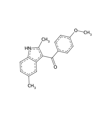 COc1ccc(C(=O)c2c(C)[nH]c3ccc(C)cc23)cc1